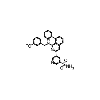 COc1cccc(CNc2nc(-c3cncc(S(N)(=O)=O)c3)cc3cccc(-c4ccccc4)c23)c1